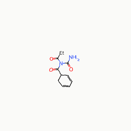 CCC(=O)N(C(N)=O)C(=O)C1C=CC=CC1